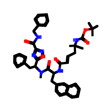 CN(C(=O)C(Cc1ccc2ccccc2c1)NC(=O)C=CCC(C)(C)NC(=O)OC(C)(C)C)C(Cc1ccccc1)c1nc(C(=O)NCc2ccccc2)no1